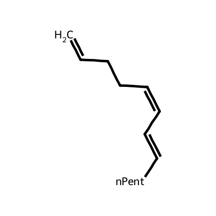 C=CCC/C=C\C=C\CCCCC